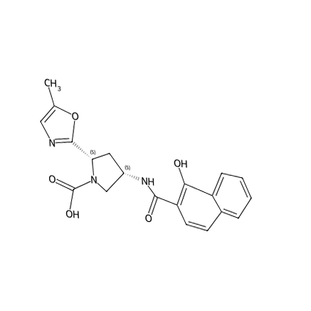 Cc1cnc([C@@H]2C[C@H](NC(=O)c3ccc4ccccc4c3O)CN2C(=O)O)o1